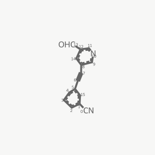 N#Cc1cccc(C#Cc2cncc(C=O)c2)c1